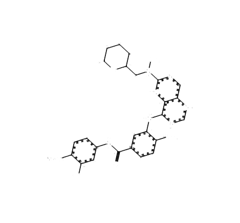 COc1ccc(NC(=O)c2ccc(C)c(Nc3ncnc4cnc(N(C)CC5CCCCO5)nc34)c2)cc1C(F)(F)F